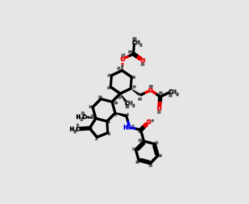 C=C1CCC2[C@H](CNC(=O)c3ccccc3)C([C@@]3(C)CC[C@H](OC(C)=O)C[C@@H]3COC(C)=O)CC[C@]12C